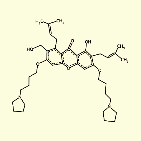 CC(C)=CCc1c(OCCCCN2CCCC2)cc2oc3cc(OCCCCN4CCCC4)c(CO)c(CC=C(C)C)c3c(=O)c2c1O